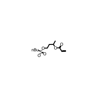 C=CC(=O)OC(C)CCOS(=O)(=O)CCCC